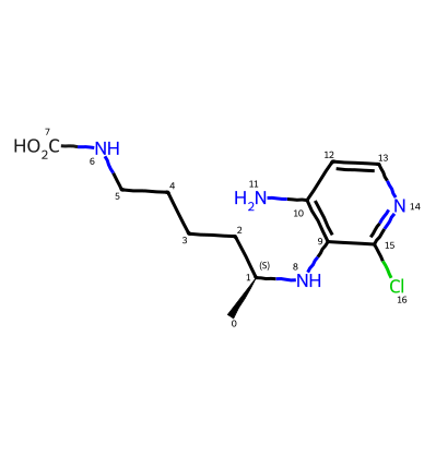 C[C@@H](CCCCNC(=O)O)Nc1c(N)ccnc1Cl